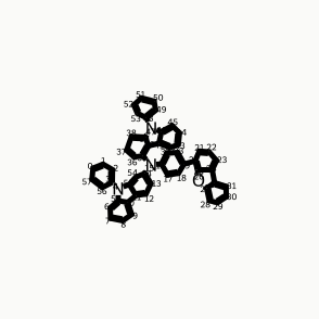 c1ccc(-n2c3ccccc3c3ccc(N(c4ccc(-c5cccc6c5oc5ccccc56)cc4)c4cccc5c4c4ccccc4n5-c4ccccc4)cc32)cc1